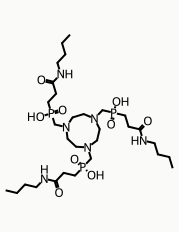 CCCCNC(=O)CCP(=O)(O)CN1CCN(CP(=O)(O)CCC(=O)NCCCC)CCN(CP(=O)(O)CCC(=O)NCCCC)CC1